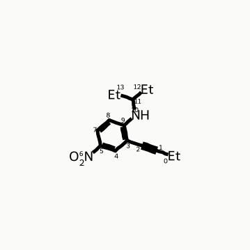 CCC#Cc1cc([N+](=O)[O-])ccc1NC(CC)CC